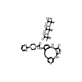 O=C(Nc1ccc2cc1CCc1cncc(c1)Nc1ncc(Cl)c(n1)N2)N1CCN(c2ncccn2)CC1.O=C(O)C(F)(F)F.O=C(O)C(F)(F)F.O=C(O)C(F)(F)F